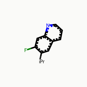 CC(C)c1cc2cccnc2cc1F